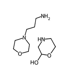 NCCCN1CCOCC1.OC1CNCCO1